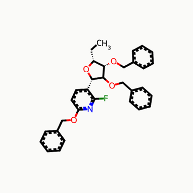 CC[C@H]1O[C@@H](c2ccc(OCc3ccccc3)nc2F)C(OCc2ccccc2)[C@H]1OCc1ccccc1